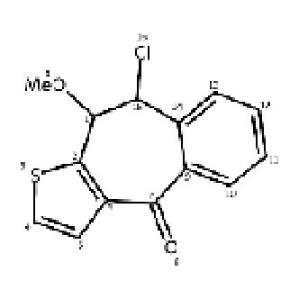 COC1c2sccc2C(=O)c2ccccc2C1Cl